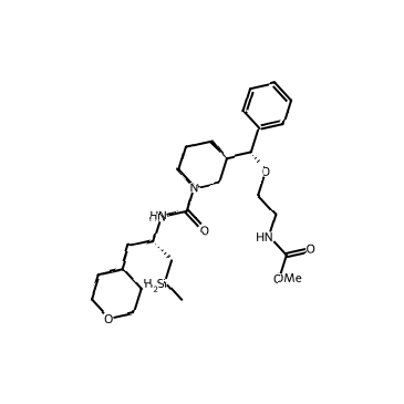 COC(=O)NCCO[C@@H](c1ccccc1)[C@@H]1CCCN(C(=O)N[C@H](C[SiH2]C)CC2CCOCC2)C1